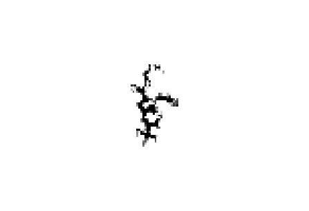 CCOC(=O)c1cc2cc(C(F)(F)F)cnc2n1CC#N